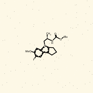 COc1cc2c(cc1F)c1c(n2C[C@@H](C)NC(=O)OC(C)(C)C)CCC1